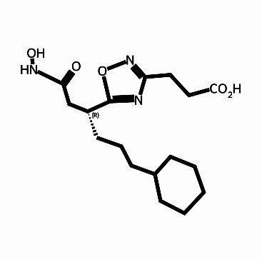 O=C(O)CCc1noc([C@H](CCCC2CCCCC2)CC(=O)NO)n1